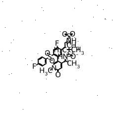 C[C@H](N[S+]([O-])C(C)(C)C)c1cc(=O)n(C)cc1-c1cc(CCN[SH](=O)=O)c(F)cc1S(=O)(=O)c1ccc(F)cc1